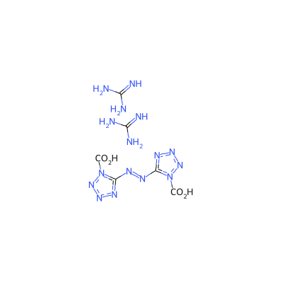 N=C(N)N.N=C(N)N.O=C(O)n1nnnc1N=Nc1nnnn1C(=O)O